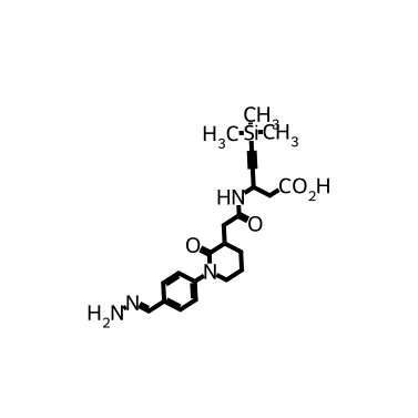 C[Si](C)(C)C#CC(CC(=O)O)NC(=O)CC1CCCN(c2ccc(C=NN)cc2)C1=O